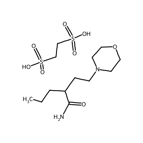 CCCC(CCN1CCOCC1)C(N)=O.O=S(=O)(O)CCS(=O)(=O)O